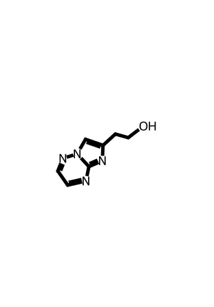 OCCc1cn2nccnc2n1